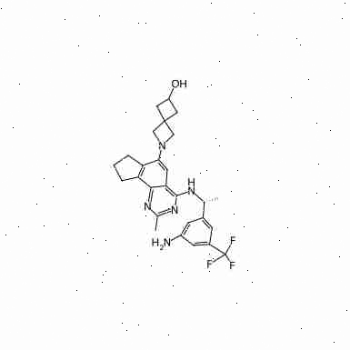 Cc1nc(N[C@H](C)c2cc(N)cc(C(F)(F)F)c2)c2cc(N3CC4(CC(O)C4)C3)c3c(c2n1)CCC3